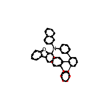 c1ccc(-c2ccccc2-c2c(-c3ccccc3)cccc2-c2cccc(N(c3ccc4ccccc4c3)c3cccc4c3oc3ccccc34)c2)cc1